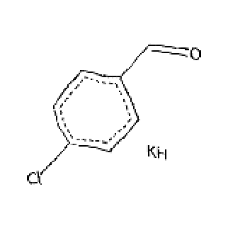 O=Cc1ccc(Cl)cc1.[KH]